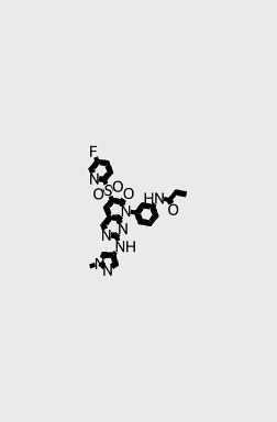 C=CC(=O)Nc1cccc(-n2c(=O)c(S(=O)(=O)c3ccc(F)cn3)cc3cnc(Nc4cnn(C)c4)nc32)c1